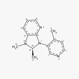 Cc1ccncc1N1c2ncccc2N(C)[C@@H]1C